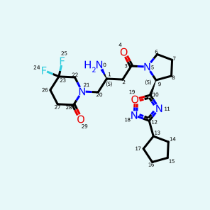 N[C@@H](CC(=O)N1CCC[C@H]1c1nc(C2CCCC2)no1)CN1CC(F)(F)CCC1=O